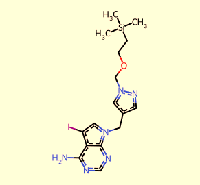 C[Si](C)(C)CCOCn1cc(Cn2cc(I)c3c(N)ncnc32)cn1